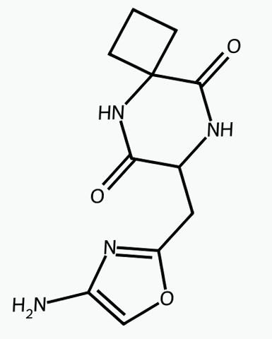 Nc1coc(CC2NC(=O)C3(CCC3)NC2=O)n1